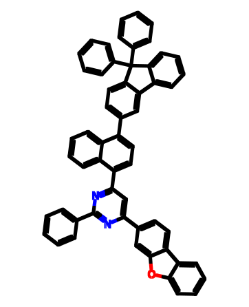 c1ccc(-c2nc(-c3ccc4c(c3)oc3ccccc34)cc(-c3ccc(-c4ccc5c(c4)-c4ccccc4C5(c4ccccc4)c4ccccc4)c4ccccc34)n2)cc1